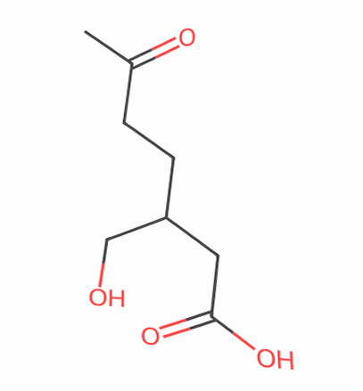 CC(=O)CCC(CO)CC(=O)O